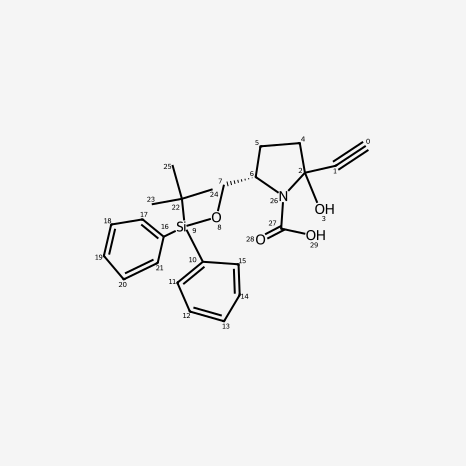 C#CC1(O)CC[C@@H](CO[Si](c2ccccc2)(c2ccccc2)C(C)(C)C)N1C(=O)O